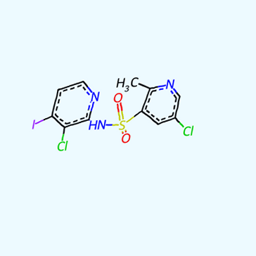 Cc1ncc(Cl)cc1S(=O)(=O)Nc1nccc(I)c1Cl